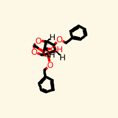 O[C@@H]1C2OC3O[C@@H](C2OCc2ccccc2)C(OCc2ccccc2)[C@H]1O3